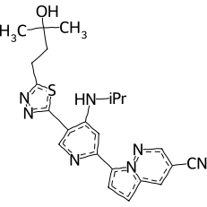 CC(C)Nc1cc(-c2ccc3cc(C#N)cnn23)ncc1-c1nnc(CCC(C)(C)O)s1